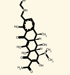 CC(C)CNCc1ccc2c(c1O)C(=O)C1=C(O)[C@@]3(O)C(=O)C(C(N)=O)=C(O)[C@H](N(C)C)[C@H]3[C@H](O)[C@H]1[C@@H]2C